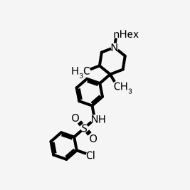 CCCCCCN1CCC(C)(c2cccc(NS(=O)(=O)c3ccccc3Cl)c2)C(C)C1